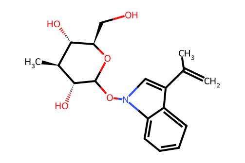 C=C(C)c1cn(OC2O[C@H](CO)[C@@H](O)[C@H](C)[C@H]2O)c2ccccc12